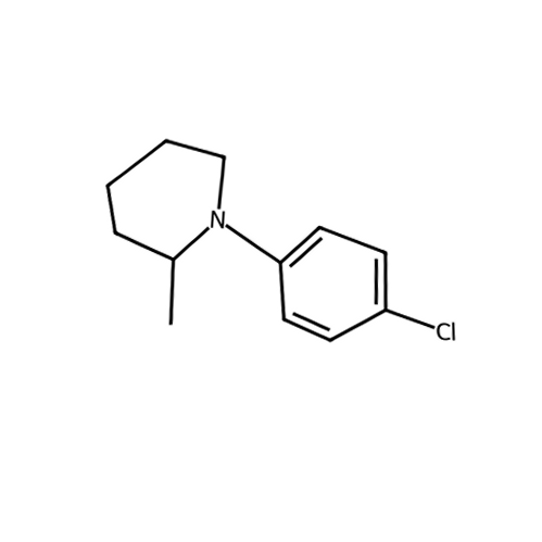 CC1CCCCN1c1ccc(Cl)cc1